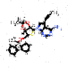 CC#Cc1cn([C@@H]2SC(CO[Si](c3ccccc3)(c3ccccc3)C(C)(C)C)[C@H]3OC(C)(C)O[C@H]32)c2ncnc(N)c12